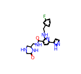 O=C1CNCC(CNC(=O)c2ccc(-c3ccn[nH]3)nc2NCCc2cccc(F)c2)N1